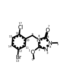 COc1nn(C)c(=O)n1Cc1cc(Br)ccc1Cl